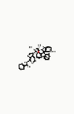 COc1ccccc1C(c1ccccc1)(c1ccccc1OC)C(O)[C@H]1O[C@@H](n2cnc3c(NC(=O)c4ccccc4)ncnc32)[C@H](O)[C@@H]1O